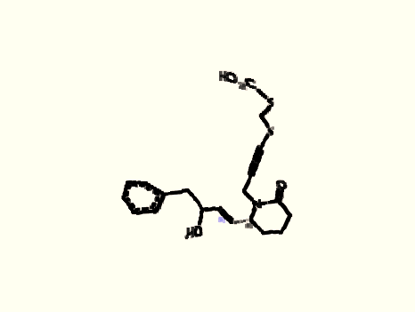 O=C(O)SCSC#CCN1C(=O)CCC[C@@H]1/C=C/C(O)Cc1ccccc1